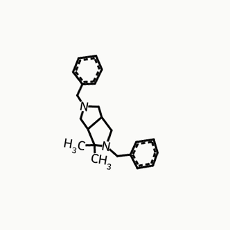 CC1(C)C2CN(Cc3ccccc3)CC2CN1Cc1ccccc1